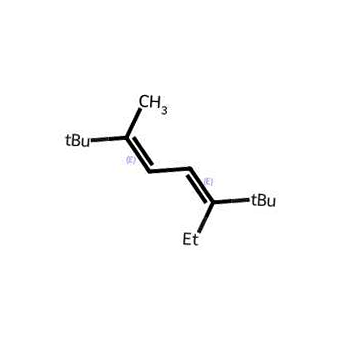 CC/C(=C\C=C(/C)C(C)(C)C)C(C)(C)C